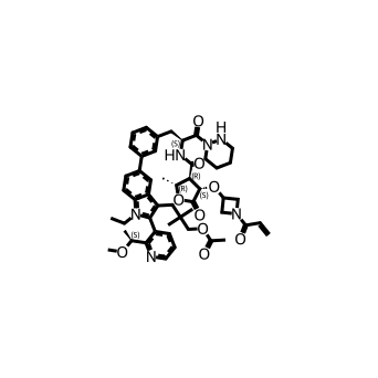 C=CC(=O)N1CC(O[C@@H]2C(=O)O[C@H](C)[C@H]2C(=O)N[C@@H](Cc2cccc(-c3ccc4c(c3)c(CC(C)(C)COC(C)=O)c(-c3cccnc3[C@H](C)OC)n4CC)c2)C(=O)N2CCCCN2)C1